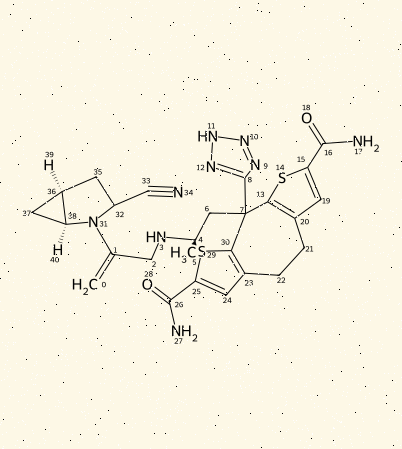 C=C(CN[C@H](C)CC1(c2nn[nH]n2)c2sc(C(N)=O)cc2CCc2cc(C(N)=O)sc21)N1C(C#N)C[C@@H]2C[C@@H]21